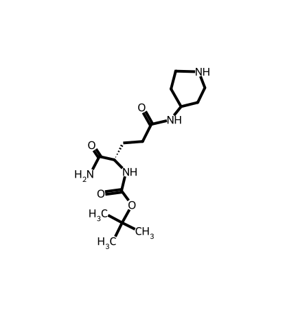 CC(C)(C)OC(=O)N[C@@H](CCC(=O)NC1CCNCC1)C(N)=O